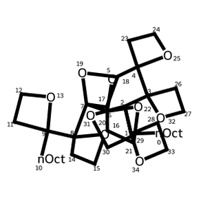 CCCCCCCCC1(C2(C3(C4(OC5(C6(C7(C8(CCCCCCCC)CCO8)CCO7)CCO6)CCO5)CCO4)CCO3)CCO2)CCO1